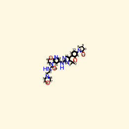 CC1(C)Oc2cc(N3CCCC3=O)ccc2-c2cnc(Nc3cnc4c(c3)N(C(=O)NCCN3CCOCC3)CCO4)nc21